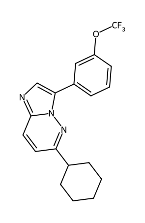 FC(F)(F)Oc1cccc(-c2cnc3ccc(C4CCCCC4)nn23)c1